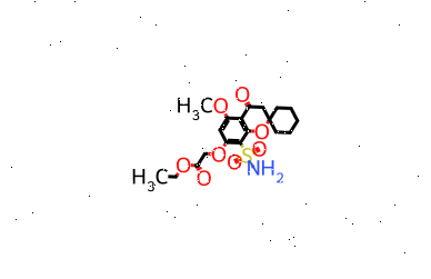 CCOC(=O)COc1cc(OC)c2c(c1S(N)(=O)=O)OC1(CCCCC1)CC2=O